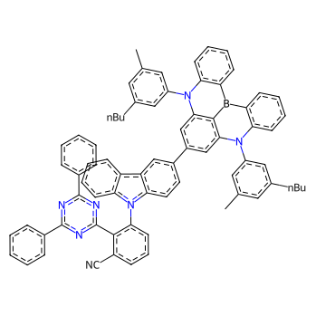 CCCCc1cc(C)cc(N2c3ccccc3B3c4ccccc4N(c4cc(C)cc(CCCC)c4)c4cc(-c5ccc6c(c5)c5ccccc5n6-c5cccc(C#N)c5-c5nc(-c6ccccc6)nc(-c6ccccc6)n5)cc2c43)c1